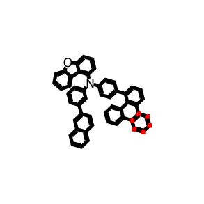 c1ccc(-c2ccccc2-c2c(-c3ccccc3)cccc2-c2ccc(N(c3cccc(-c4ccc5ccccc5c4)c3)c3cccc4oc5ccccc5c34)cc2)cc1